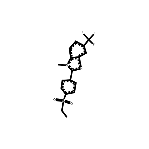 CCS(=O)(=O)c1ccc(-c2nc3cc(C(F)(F)F)ccc3n2C)cc1